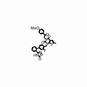 COc1ccc(C(=O)Cn2c(=O)c3cc(C)sc3n(Cc3ccc(-c4ccccc4-c4noc(=O)[nH]4)cc3F)c2=O)cc1